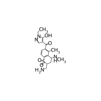 CCn1ncc(C(=O)c2ccc3c(c2C)C(NC)CC(CN)S3(=O)=O)c1O